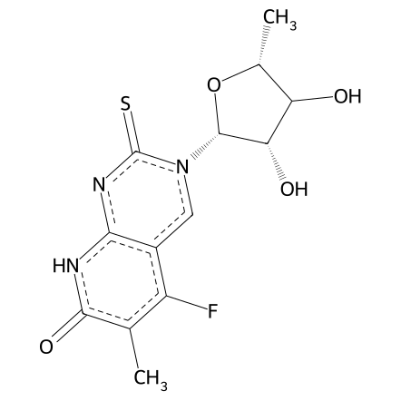 Cc1c(F)c2cn([C@@H]3O[C@H](C)C(O)[C@@H]3O)c(=S)nc2[nH]c1=O